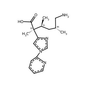 C[C@@H](CN)C[C@H](C)[C@](C)(C(=O)O)c1cn(-c2ccccn2)cn1